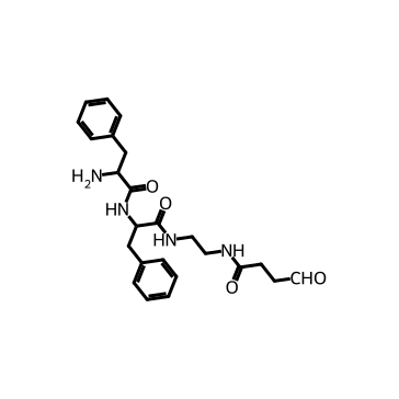 NC(Cc1ccccc1)C(=O)NC(Cc1ccccc1)C(=O)NCCNC(=O)CCC=O